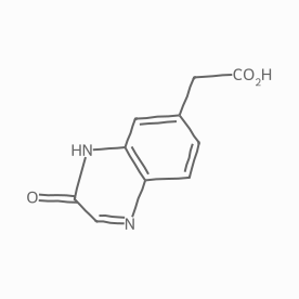 O=C(O)Cc1ccc2ncc(=O)[nH]c2c1